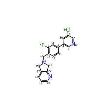 Fc1cc(-c2cncc(Cl)c2)ccc1CN1Cc2cccnc2C1